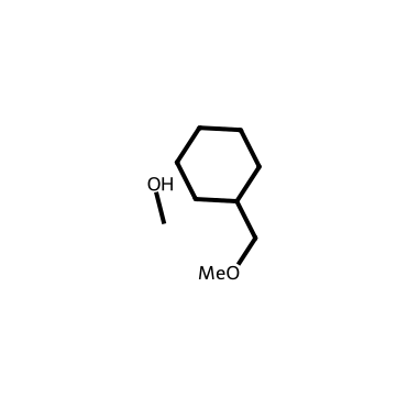 CO.COCC1CCCCC1